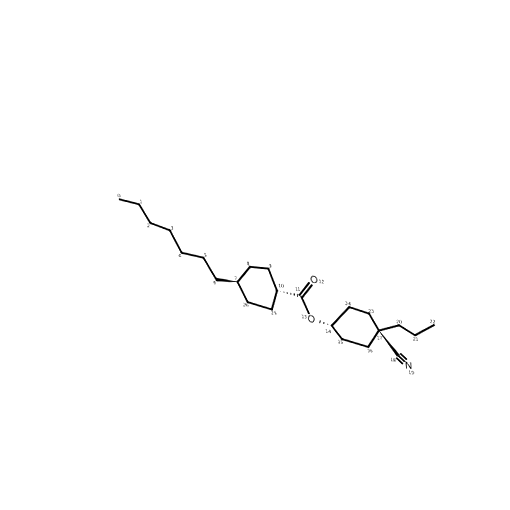 CCCCCCC[C@H]1CC[C@H](C(=O)O[C@H]2CC[C@@](C#N)(CCC)CC2)CC1